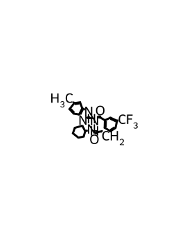 C=CC(=O)NC1CCCCC1n1c(NC(=O)c2cccc(C(F)(F)F)c2)nc2cc(C)ccc21